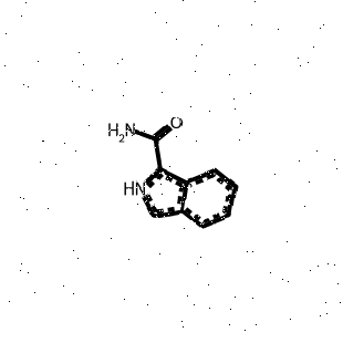 NC(=O)c1[nH]cc2ccccc12